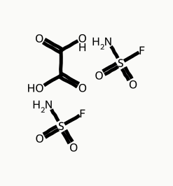 NS(=O)(=O)F.NS(=O)(=O)F.O=C(O)C(=O)O